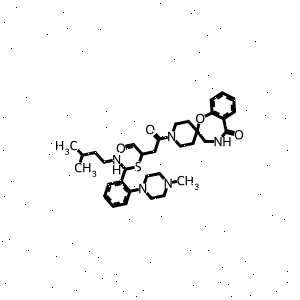 CC(C)CCNC(SC(C=O)CC(=O)N1CCC2(CC1)CNC(=O)c1ccccc1O2)c1ccccc1N1CCN(C)CC1